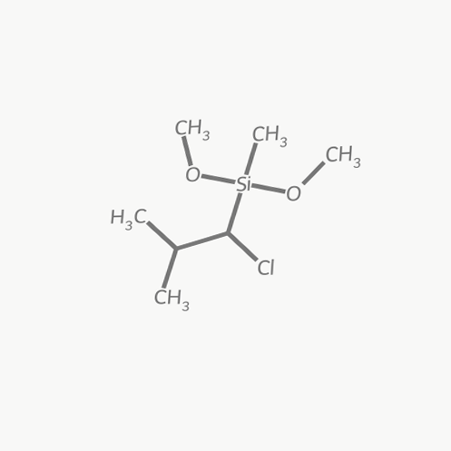 CO[Si](C)(OC)C(Cl)C(C)C